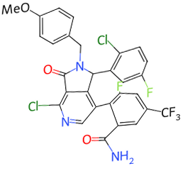 COc1ccc(CN2C(=O)c3c(Cl)ncc(-c4c(F)cc(C(F)(F)F)cc4C(N)=O)c3C2c2cc(F)ccc2Cl)cc1